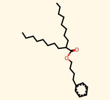 CCCCCCCCC(CCCCCCCC)C(=O)OCCCCc1ccccc1